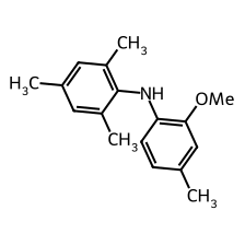 COc1cc(C)ccc1Nc1c(C)cc(C)cc1C